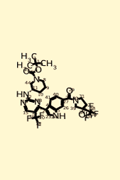 CC(C)(C)OC(=O)N1CCC[C@H](Nc2ncc(C(F)(F)F)c(-c3c[nH]c4cc(C(=O)N5CC[C@@](O)(C(F)(F)F)C5)ccc34)n2)C1